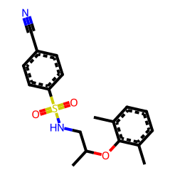 Cc1cccc(C)c1OC(C)CNS(=O)(=O)c1ccc(C#N)cc1